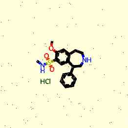 CNS(=O)(=O)c1cc2c(cc1OC)CCNCC2c1ccccc1.Cl